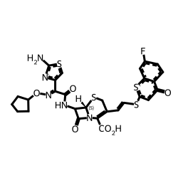 Nc1nc(C(=NOC2CCCC2)C(=O)NC2C(=O)N3C(C(=O)O)=C(C=CSc4cc(=O)c5ccc(F)cc5s4)CS[C@@H]23)cs1